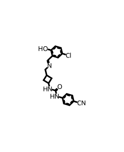 N#Cc1ccc(NC(=O)NC2CC(CN=Cc3cc(Cl)ccc3O)C2)cc1